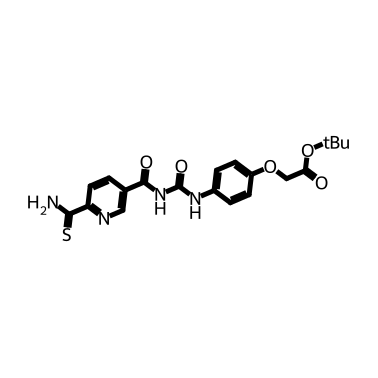 CC(C)(C)OC(=O)COc1ccc(NC(=O)NC(=O)c2ccc(C(N)=S)nc2)cc1